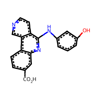 O=C(O)c1ccc2c(c1)nc(Nc1cccc(O)c1)c1ccncc12